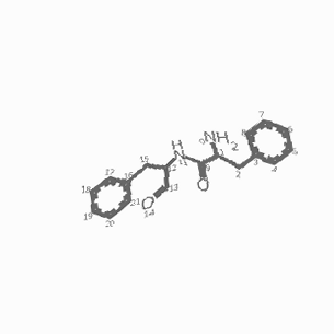 NC(Cc1ccccc1)C(=O)NC([C]=O)Cc1ccccc1